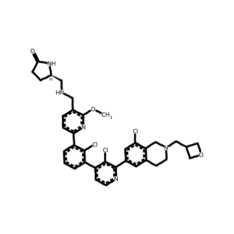 COc1nc(-c2cccc(-c3ccnc(-c4cc(Cl)c5c(c4)CCN(CC4COC4)C5)c3Cl)c2Cl)ccc1CNC[C@H]1CCC(=O)N1